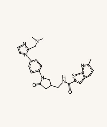 Cc1ccc2cc(C(=O)NCC3CC(=O)N(c4ccc(-n5ccnc5CN(C)C)cc4)C3)sc2n1